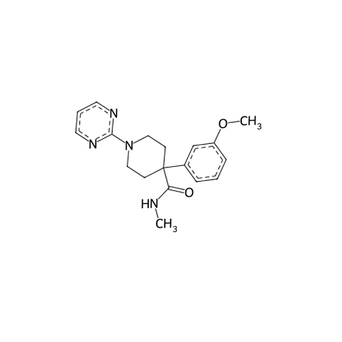 CNC(=O)C1(c2cccc(OC)c2)CCN(c2ncccn2)CC1